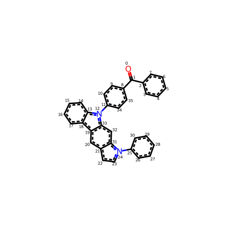 O=C(c1ccccc1)c1ccc(-n2c3ccccc3c3cc4ccn(-c5ccccc5)c4cc32)cc1